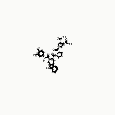 O=C(O)[C@H]1CN(C(=O)[C@@H]2CCCN2C(=O)[C@H]2Cc3c([nH]c4ccccc34)CN2C(=O)Nc2ccc(Cl)c(Cl)c2)C[C@@H]1C(=O)O